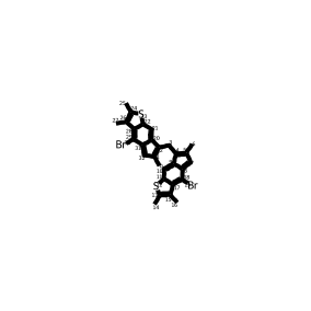 CC1=C(CC2=C(C)C=C3C2=CC2SC(C)=C(C)C2=C3Br)C2=CC3SC(C)=C(C)C3=C(Br)C2=C1